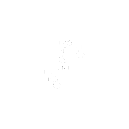 Cc1[nH]c2ccccc2c1CC(=O)Nc1ccc2cc1CCc1cccc(c1)Nc1ncc(Cl)c(n1)N2